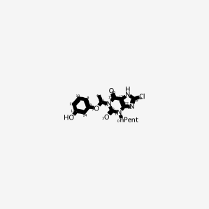 CCCCCn1c(=O)n(C(C)Oc2cccc(O)c2)c(=O)c2[nH]c(Cl)nc21